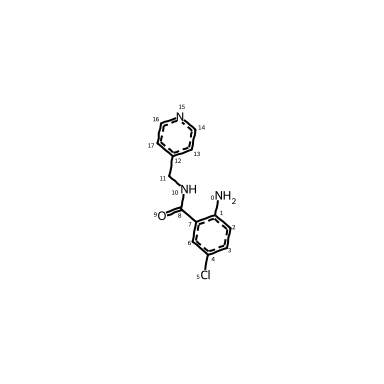 Nc1ccc(Cl)cc1C(=O)NCc1ccncc1